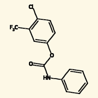 O=C(Nc1ccccc1)Oc1ccc(Cl)c(C(F)(F)F)c1